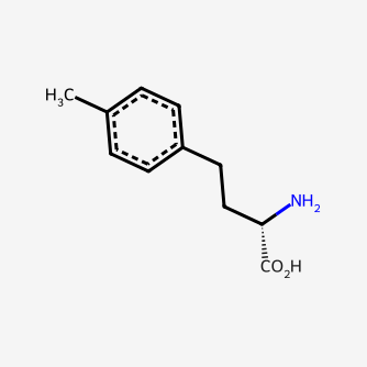 Cc1ccc(CC[C@H](N)C(=O)O)cc1